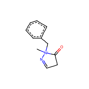 C[N+]1(Cc2ccccc2)N=CCC1=O